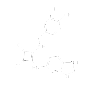 O=c1c(NCc2ccc(O)c(O)c2)c(Nc2ccc3[nH]cnc3c2)c1=O